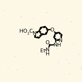 CCNC(=O)Nc1cc(Oc2ccc3c(ccn3C(=O)O)c2)ccn1